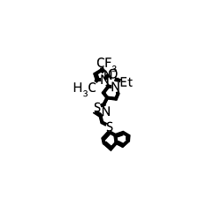 CCC(=O)N1CCC(c2nc(CSc3cccc4ccccc34)cs2)CC1n1nc(C(F)(F)F)cc1C